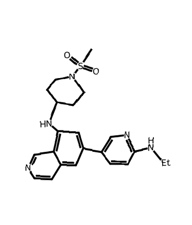 CCNc1ccc(-c2cc(NC3CCN(S(C)(=O)=O)CC3)c3cnccc3c2)cn1